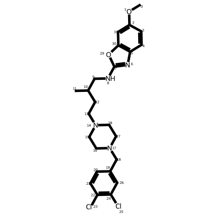 COc1ccc2nc(NCC(C)CCN3CCN(Cc4ccc(Cl)c(Cl)c4)CC3)oc2c1